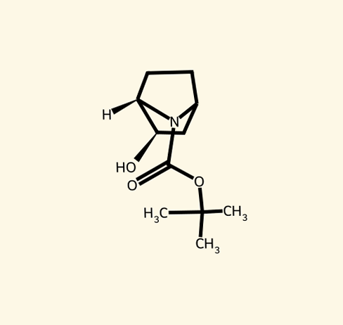 CC(C)(C)OC(=O)N1C2CC[C@H]1[C@H](O)C2